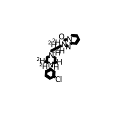 [2H]C1([2H])CN(CC([2H])([2H])C([2H])([2H])n2nc3ccccn3c2=O)CC([2H])([2H])N1c1cccc(Cl)c1